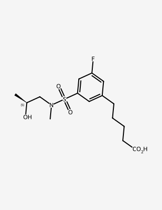 C[C@H](O)CN(C)S(=O)(=O)c1cc(F)cc(CCCCC(=O)O)c1